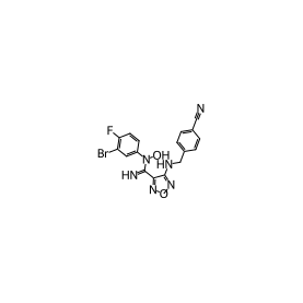 N#Cc1ccc(CNc2nonc2C(=N)N(O)c2ccc(F)c(Br)c2)cc1